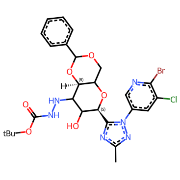 Cc1nc([C@@H]2OC3COC(c4ccccc4)O[C@@H]3C(NNC(=O)OC(C)(C)C)C2O)n(-c2cnc(Br)c(Cl)c2)n1